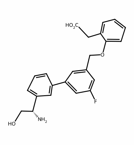 N[C@H](CO)c1cccc(-c2cc(F)cc(COc3ccccc3CC(=O)O)c2)c1